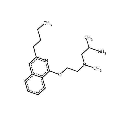 CCCCc1cc2ccccc2c(OCCN(C)CC(C)N)n1